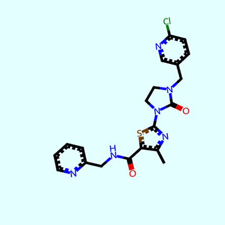 Cc1nc(N2CCN(Cc3ccc(Cl)nc3)C2=O)sc1C(=O)NCc1ccccn1